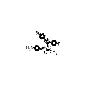 CC1OC(c2nn(-c3ccc(Br)cc3)nc2-c2ccc(F)cc2)N(CCc2ccc(N)cc2)C1=O